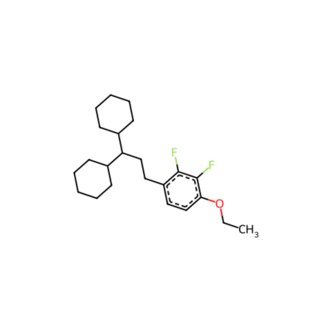 CCOc1ccc(CCC(C2CCCCC2)C2CCCCC2)c(F)c1F